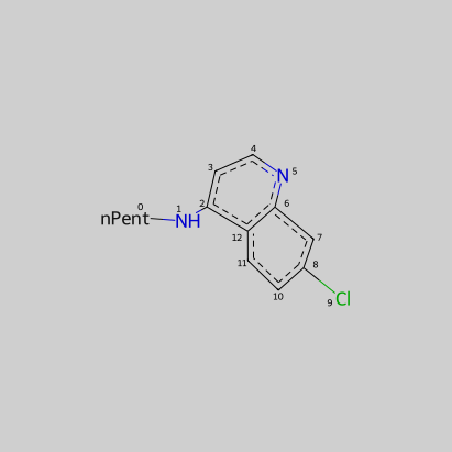 CCCCCNc1ccnc2cc(Cl)ccc12